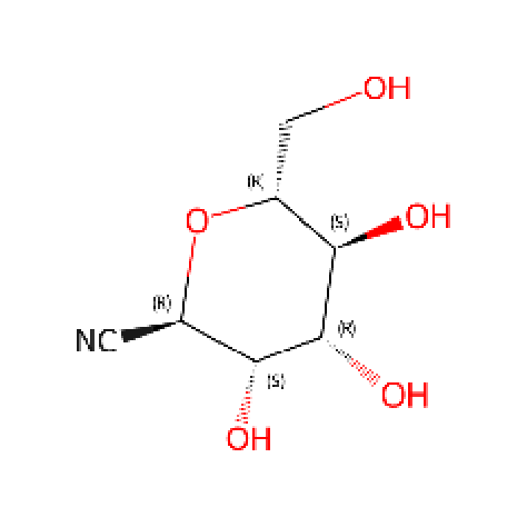 N#C[C@H]1O[C@H](CO)[C@@H](O)[C@H](O)[C@@H]1O